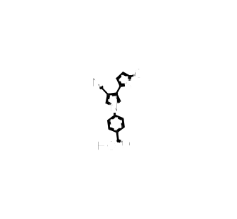 N#Cc1cn(-c2ccc(C(=O)O)cc2)cc1-c1ccc(Cl)s1